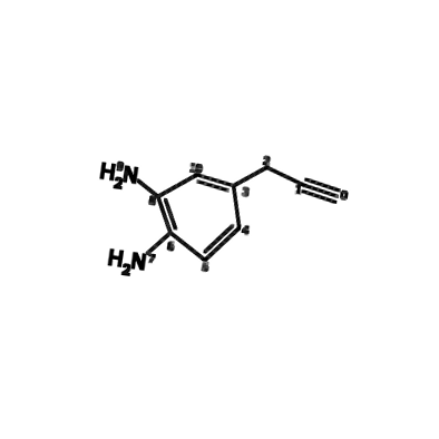 C#CCc1ccc(N)c(N)c1